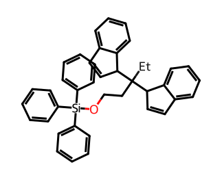 CCC(CCO[Si](c1ccccc1)(c1ccccc1)c1ccccc1)(C1C=Cc2ccccc21)C1C=Cc2ccccc21